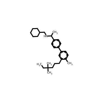 CCC(C)(C)CCCc1cc(-c2ccc(C(C)NCC3CCCCC3)cc2)ccc1C